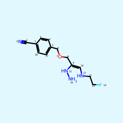 N#Cc1ccc(COC/C(=C/NCCF)NN)cc1